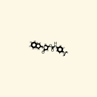 CN(C)c1ccc(NC(=O)OC2CC(=O)N(C3Cc4ccccc4C3)C2)cc1